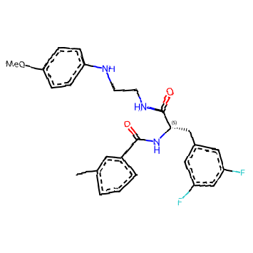 COc1ccc(NCCNC(=O)[C@H](Cc2cc(F)cc(F)c2)NC(=O)c2cccc(C)c2)cc1